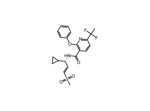 CC(F)(F)c1ccc(C(=O)N[C@H](/C=C/S(C)(=O)=O)C2CC2)c(Oc2ccccc2)n1